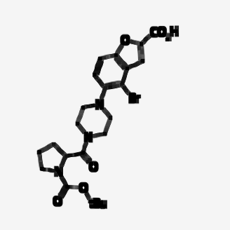 CC(C)(C)OC(=O)N1CCCC1C(=O)N1CCN(c2ccc3oc(C(=O)O)cc3c2Br)CC1